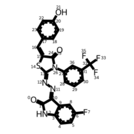 O=C1Nc2ccc(F)cc2C1=NN=C1SC(=Cc2ccc(O)cc2)C(=O)N1c1cccc(C(F)(F)F)c1